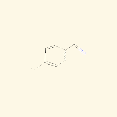 Cc1ccc(C=[N])cc1